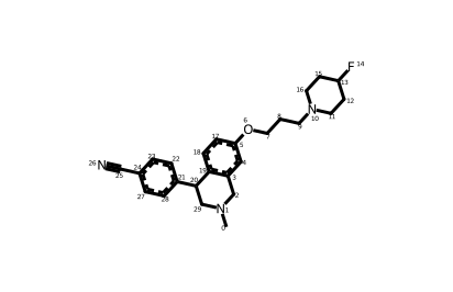 CN1Cc2cc(OCCCN3CCC(F)CC3)ccc2C(c2ccc(C#N)cc2)C1